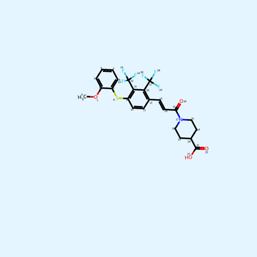 COc1ccccc1Sc1ccc(C=CC(=O)N2CCC(C(=O)O)CC2)c(C(F)(F)F)c1C(F)(F)F